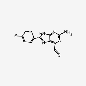 Nc1nc(C=S)c2nc(-c3ccc(F)cc3)[nH]c2n1